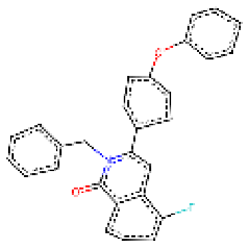 O=c1c2cccc(F)c2cc(-c2ccc(Oc3ccccc3)cc2)n1Cc1ccccc1